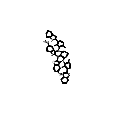 Cc1ccc(-c2cc3ccccc3s2)c(C)c1N1c2cccc3c2B(c2oc4ccc(C(C)(C)C)cc4c21)c1oc2ccc(C(C)(C)C)cc2c1N3c1c(C)ccc(-c2cc3ccccc3s2)c1C